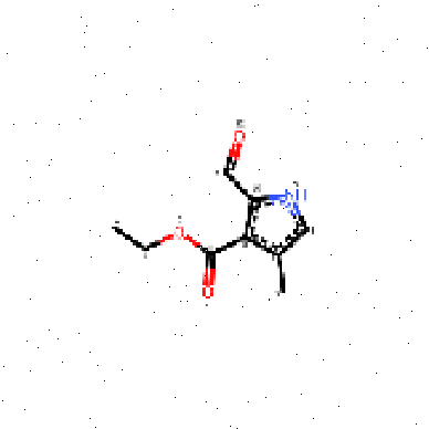 CCOC(=O)c1c(C)c[nH]c1C=O